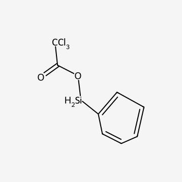 O=C(O[SiH2]c1ccccc1)C(Cl)(Cl)Cl